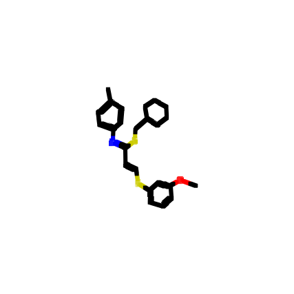 COc1cccc(SC=CC(=Nc2ccc(C)cc2)SCC2CCCCC2)c1